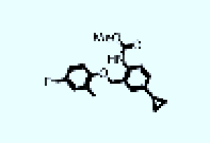 CCc1ccc(OCc2cc(C3CC3)ccc2NC(=O)OC)c(C)c1